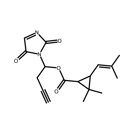 C#CCC(OC(=O)C1C(C=C(C)C)C1(C)C)N1C(=O)C=NC1=O